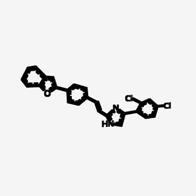 Clc1ccc(-c2c[nH]c(/C=C/c3ccc(-c4cc5ccccc5o4)cc3)n2)c(Cl)c1